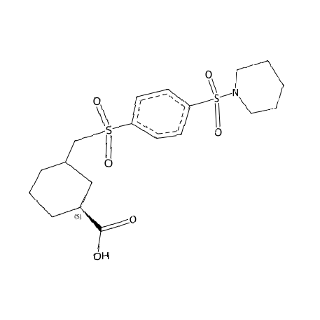 O=C(O)[C@H]1CCCC(CS(=O)(=O)c2ccc(S(=O)(=O)N3CCCCC3)cc2)C1